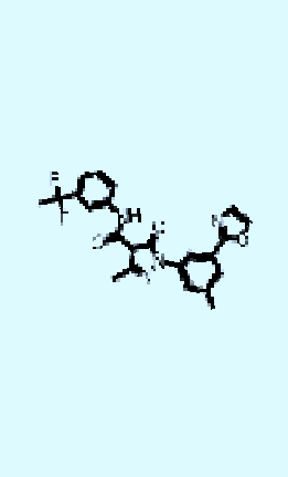 CC1=NN(c2cc(C)cc(-c3ncco3)c2)C(=O)C1C(=O)Nc1cccc(C(C)(F)F)c1